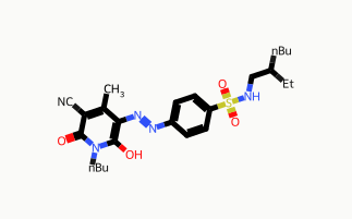 CCCCC(CC)CNS(=O)(=O)c1ccc(N=Nc2c(C)c(C#N)c(=O)n(CCCC)c2O)cc1